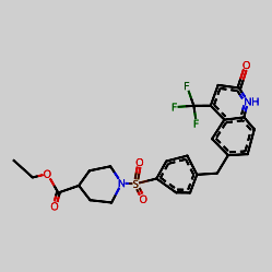 CCOC(=O)C1CCN(S(=O)(=O)c2ccc(Cc3ccc4[nH]c(=O)cc(C(F)(F)F)c4c3)cc2)CC1